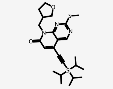 CSc1ncc2c(C#C[Si](C(C)C)(C(C)C)C(C)C)cc(=O)n(CC3CCOC3)c2n1